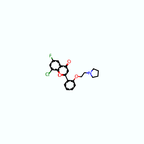 O=c1cc(-c2ccccc2OCCN2CCCC2)oc2c(Cl)cc(F)cc12